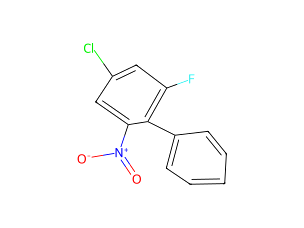 O=[N+]([O-])c1cc(Cl)cc(F)c1-c1ccccc1